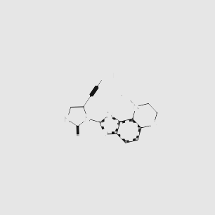 CC#CC1CNC(=O)N1c1nc2c3c(ccc2s1)OCCN3C(C)=O